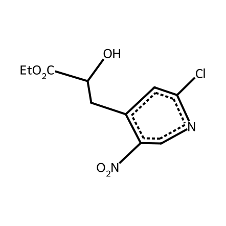 CCOC(=O)C(O)Cc1cc(Cl)ncc1[N+](=O)[O-]